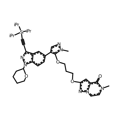 CC(C)[Si](C#Cc1nn(C2CCCCO2)c2ccc(-c3cnn(C)c3OCCCOc3cc4c(=O)n(C)ccn4n3)cc12)(C(C)C)C(C)C